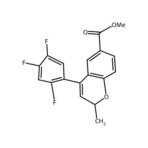 COC(=O)c1ccc2c(c1)C(c1cc(F)c(F)cc1F)=CC(C)O2